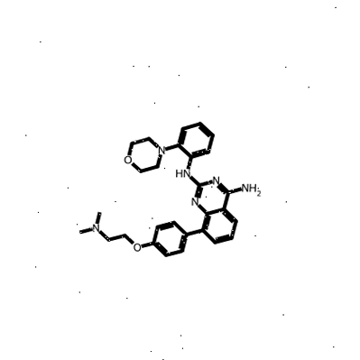 CN(C)CCOc1ccc(-c2cccc3c(N)nc(Nc4ccccc4N4CCOCC4)nc23)cc1